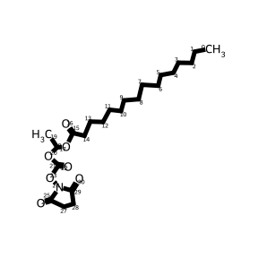 CCCCCCCCCCCCCCCC(=O)OC(C)OC(=O)ON1C(=O)CCC1=O